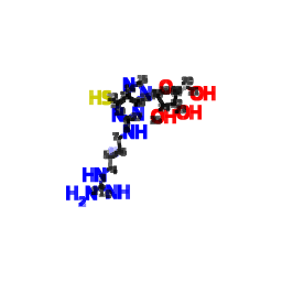 N=C(N)NC/C=C/CNc1nc(S)c2ncn([C@@H]3O[C@H](CO)C(O)C3O)c2n1